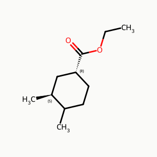 CCOC(=O)[C@@H]1CCC(C)[C@@H](C)C1